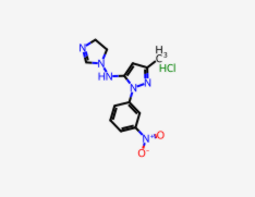 Cc1cc(NN2C=NCC2)n(-c2cccc([N+](=O)[O-])c2)n1.Cl